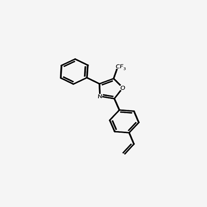 C=Cc1ccc(-c2nc(-c3ccccc3)c(C(F)(F)F)o2)cc1